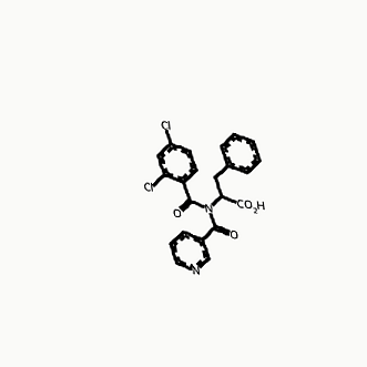 O=C(O)C(Cc1ccccc1)N(C(=O)c1cccnc1)C(=O)c1ccc(Cl)cc1Cl